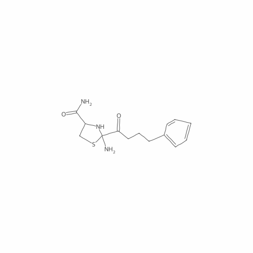 NC(=O)C1CSC(N)(C(=O)CCCc2ccccc2)N1